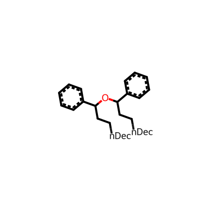 CCCCCCCCCCCCC(OC(CCCCCCCCCCCC)c1ccccc1)c1ccccc1